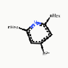 [CH2]CCc1cc(CCCCCC)nc(CCCCCC)c1